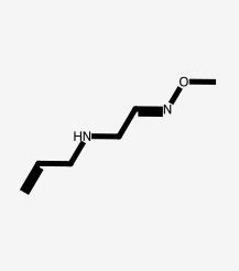 C=CCNCC=NOC